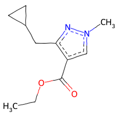 CCOC(=O)c1cn(C)nc1CC1CC1